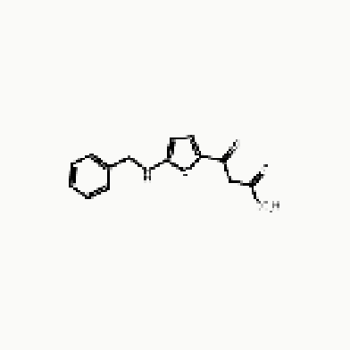 O=C(O)C(=O)CC(=O)c1ccc(NCc2ccccc2)s1